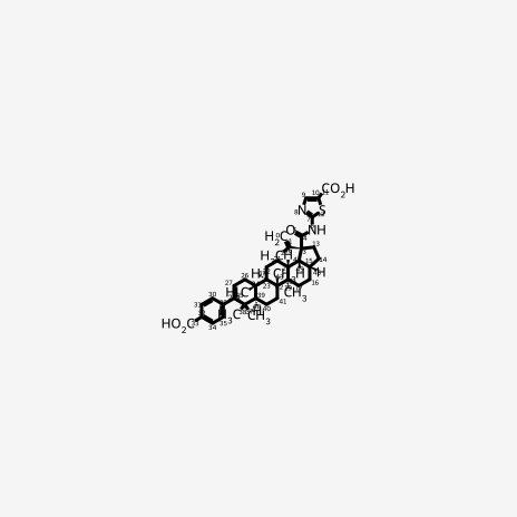 C=C(C)[C@@]1(C(=O)Nc2ncc(C(=O)O)s2)CC[C@@H]2CC[C@]3(C)[C@H](CC[C@@H]4[C@@]5(C)CC=C(c6ccc(C(=O)O)cc6)C(C)(C)[C@@H]5CC[C@]43C)[C@@H]21